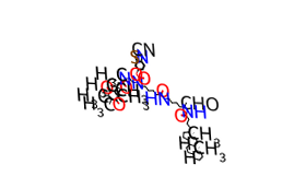 CC1=C(C)C(=O)C(C(C)(C)CC(=O)N(C)CCN(CCCCCC(=O)NCCCCC(C=O)NC(=O)CCC[C@H]2CCC3[C@@H]4CC[C@@H]5CCCC[C@]5(C)C4CC[C@@]32C)C(=O)Oc2ccc3nc(C#N)sc3c2)=C(C)C1=O